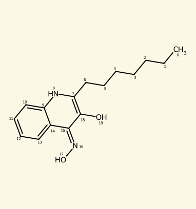 CCCCCCCc1[nH]c2ccccc2/c(=N\O)c1O